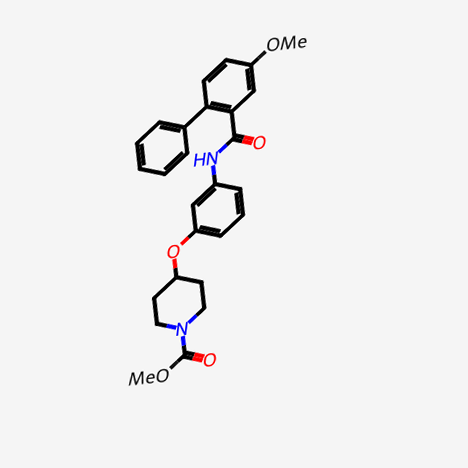 COC(=O)N1CCC(Oc2cccc(NC(=O)c3cc(OC)ccc3-c3ccccc3)c2)CC1